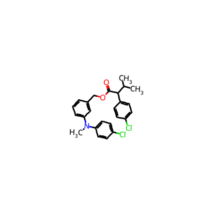 CC(C)C(C(=O)OCc1cccc(N(C)c2ccc(Cl)cc2)c1)c1ccc(Cl)cc1